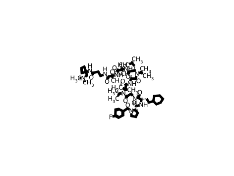 CC(C)C[C@@H](C(=O)NC(C)(C)C(=O)NC(C)(C)C(=O)NCCC(=O)NC1(CN(C)C)CCC1)N(C(=O)CNC(=O)C(C)(C)N(C(=O)CNC(=O)[C@H](CCC1CCCCC1)NC(=O)[C@@H]1CCCN1C(=O)c1ccc(F)cc1)C(C)C)C(C)C